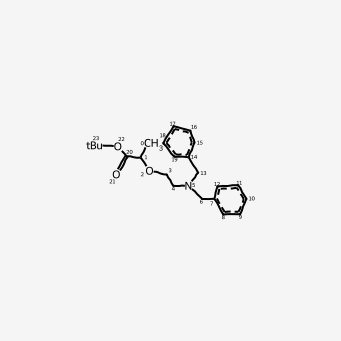 CC(OCCN(Cc1ccccc1)Cc1ccccc1)C(=O)OC(C)(C)C